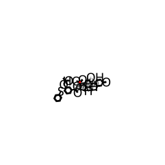 CC(=O)Oc1cc(C(=O)O[C@]2(C(=O)O)CC[C@H]3[C@@H]4CCC5=CC(=O)C=C[C@]5(C)[C@@]4(F)[C@@H](O)C[C@@]32C)ccc1Sc1ccccc1